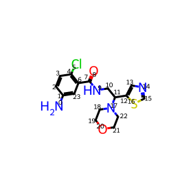 Nc1ccc(Cl)c(C(=O)NCC(c2cncs2)N2CCOCC2)c1